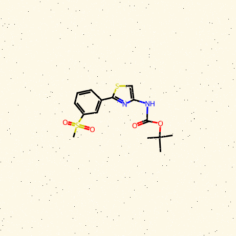 CC(C)(C)OC(=O)Nc1csc(-c2cccc(S(C)(=O)=O)c2)n1